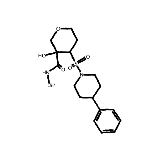 O=C(NO)C1(O)COCCC1S(=O)(=O)N1CCC(c2ccccc2)CC1